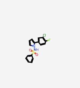 O=S(=O)(Nn1cccc1-c1ccc(F)c(Cl)c1)c1ccccc1